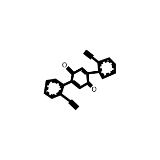 C#Cc1ccccc1C1=CC(=O)C(c2ccccc2C#C)=CC1=O